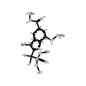 CCOP(=O)(OCC)C(F)(F)c1sc2c(OOC)cc(C(=O)OC(C)(C)C)cc2c1Br